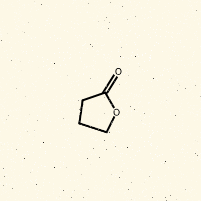 O=C1CC[CH]O1